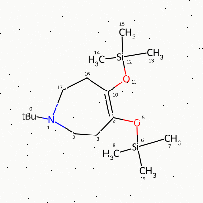 CC(C)(C)N1CCC(O[Si](C)(C)C)=C(O[Si](C)(C)C)CC1